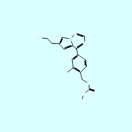 Cc1cc(-c2ncnn3cc(CCC=O)cc23)ccc1CNC(=O)OC(C)(C)C